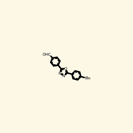 CC(C)(C)c1ccc(-c2nnc(-c3ccc(C=O)cc3)o2)cc1